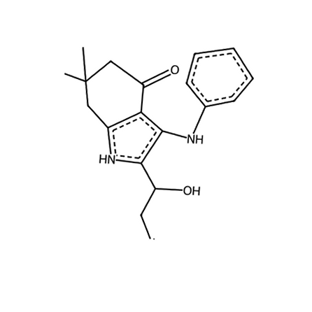 [CH2]CC(O)c1[nH]c2c(c1Nc1ccccc1)C(=O)CC(C)(C)C2